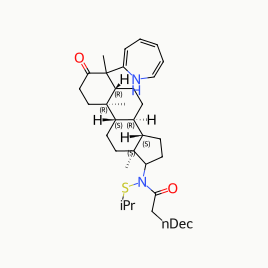 CCCCCCCCCCCC(=O)N(SC(C)C)C1CC[C@H]2[C@@H]3CC[C@H]4C(C)(C5=CC=CC=CN5)C(=O)CC[C@]4(C)[C@H]3CC[C@]12C